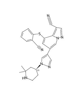 CC1(C)C[C@@H](n2cc(-c3cc(Sc4ccccc4C#N)c4c(C#N)cnn4c3)cn2)CCN1